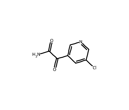 NC(=O)C(=O)c1cncc(Cl)c1